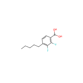 CCCCCc1ccc(B(O)O)c(F)c1F